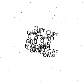 COc1ccnc(C(=O)N[C@H]2COC(=O)[C@H](Cc3ccccc3)[C@@H](OC(=O)C(C)C)[C@H](C)OC2=O)c1OC(=O)OCC(C)C.COc1ccnc(C(=O)N[C@H]2COC(=O)[C@H](Cc3ccccc3)[C@@H](OC(=O)C(C)C)[C@H](C)OC2=O)c1OCOC(C)=O